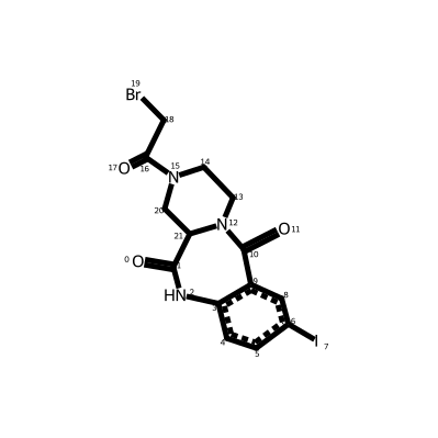 O=C1Nc2ccc(I)cc2C(=O)N2CCN(C(=O)CBr)CC12